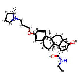 CCNC(=O)[C@H]1CC(=O)[C@@]2(C)CC[C@@H]3c4ccc(OCCCN5CCC[C@@H]5C)cc4CC[C@H]3[C@H]12